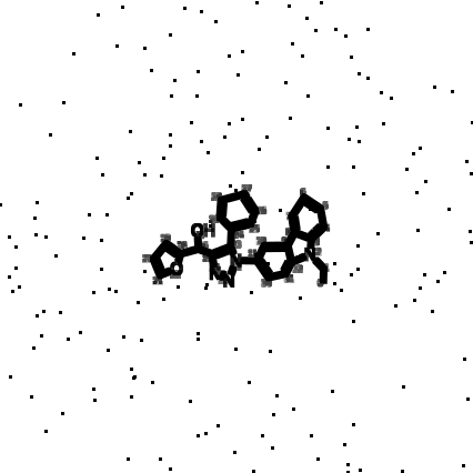 CCn1c2ccccc2c2cc(-n3nnc(C(O)c4ccco4)c3-c3ccccc3)ccc21